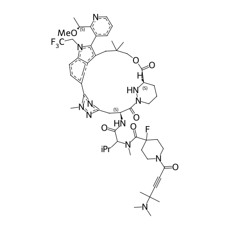 CO[C@@H](C)c1ncccc1-c1c2c3cc(ccc3n1CC(F)(F)F)-c1nc(nn1C)C[C@H](NC(=O)C(C(C)C)N(C)C(=O)C1(F)CCN(C(=O)C#CC(C)(C)N(C)C)CC1)C(=O)N1CCC[C@H](N1)C(=O)OCC(C)(C)C2